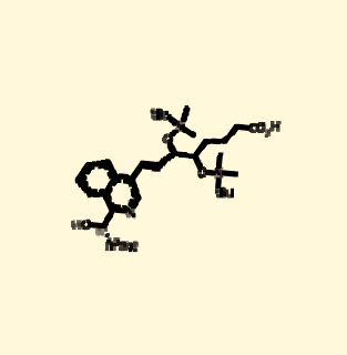 CCCCC[C@H](O)c1ncc(C=CC(O[Si](C)(C)C(C)(C)C)C(CCCC(=O)O)O[Si](C)(C)C(C)(C)C)c2ccccc12